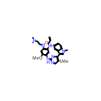 C=CC(=O)Nc1cc(Nc2ncc(SC)c(-c3cn(C)c4ccccc34)n2)c(OC)cc1N(C)CCN(C)C